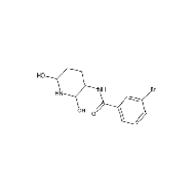 O=C(NC1CCC(O)NC1O)c1cccc(Br)c1